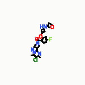 Cc1nc2c3c(nn2c(C)c1Cl)CN(C(=O)c1ccc(F)cc1OC1CC(NC2CCOC2)C1)C3